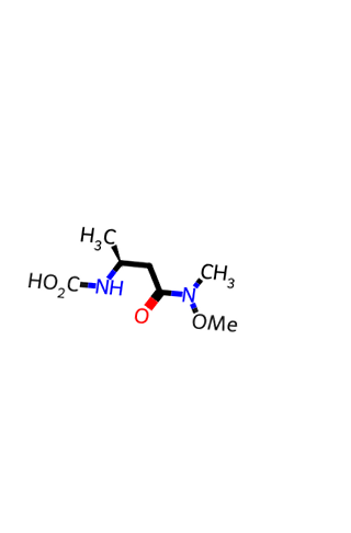 CON(C)C(=O)C[C@H](C)NC(=O)O